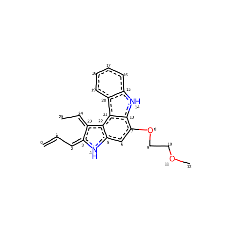 C=C/C=c1/[nH]c2cc(OCCOC)c3[nH]c4ccccc4c3c2/c1=C/C